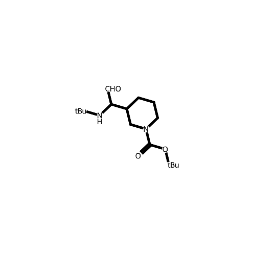 CC(C)(C)NC(C=O)C1CCCN(C(=O)OC(C)(C)C)C1